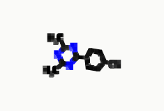 Cc1nc(C)nc(-c2ccc(C#N)cc2)n1